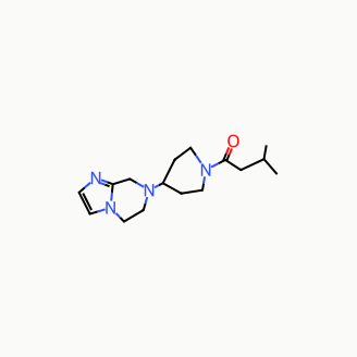 CC(C)CC(=O)N1CCC(N2CCn3ccnc3C2)CC1